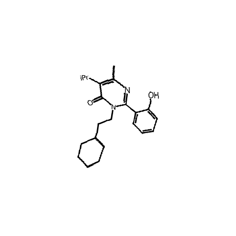 Cc1nc(-c2ccccc2O)n(CCC2CCCCC2)c(=O)c1C(C)C